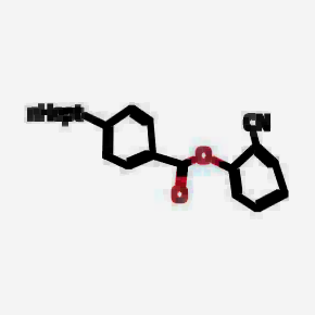 CCCCCCCc1ccc(C(=O)Oc2ccccc2C#N)cc1